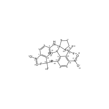 O=[N+]([O-])c1ccc(NC2(C(O)c3c(F)ccc([N+](=O)[O-])c3C(F)(F)F)CCCC2)cc1C(F)(F)F